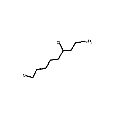 [SiH3]CCC(Cl)CCCCCCl